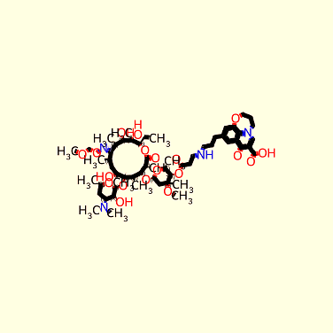 CC[C@H]1OC(=O)[C@H](C)[C@@H](O[C@H]2C[C@@](C)(OC)[C@@H](OC(=O)CCNCCCc3cc4c5c(c3)c(=O)c(C(=O)O)cn5CCCO4)[C@H](C)O2)[C@H](C)[C@@H](O[C@@H]2O[C@H](C)C[C@H](N(C)C)[C@H]2O)[C@](C)(O)C[C@@H](C)/C(=N\OCOC)[C@H](C)[C@@H](O)[C@]1(C)O